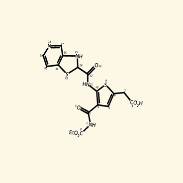 CCOC(=O)NC(=O)c1cc(CC(=O)O)sc1NC(=O)C1Nc2cnccc2S1